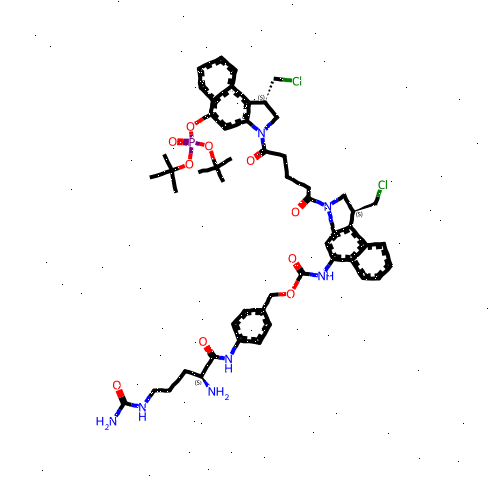 CC(C)(C)OP(=O)(Oc1cc2c(c3ccccc13)[C@H](CCl)CN2C(=O)CCCC(=O)N1C[C@@H](CCl)c2c1cc(NC(=O)OCc1ccc(NC(=O)[C@@H](N)CCCNC(N)=O)cc1)c1ccccc21)OC(C)(C)C